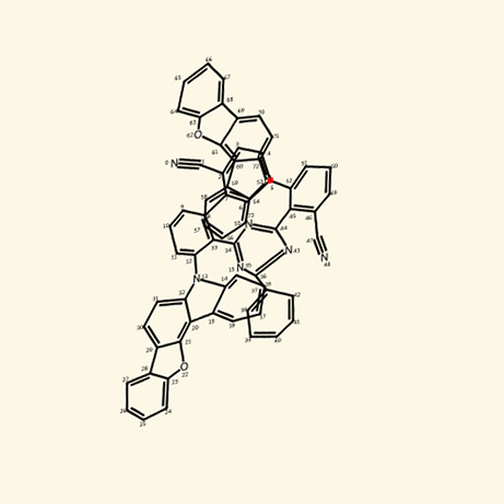 N#Cc1ccccc1-c1cccc(-n2c3ccccc3c3c4oc5ccccc5c4ccc32)c1-c1nc(-c2ccccc2)nc(-c2c(C#N)cccc2-n2c3ccccc3c3c4oc5ccccc5c4ccc32)n1